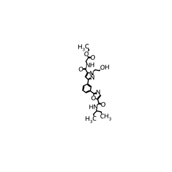 CCOC(=O)CNC(=O)c1cc(-c2cccc(-c3ncc(C(=O)NC(CC)CC)o3)c2)nn1CCO